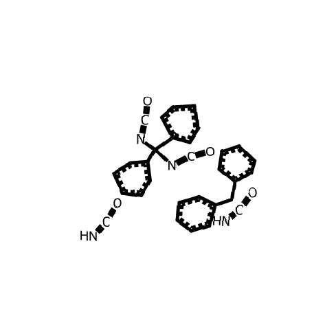 N=C=O.N=C=O.O=C=NC(N=C=O)(c1ccccc1)c1ccccc1.c1ccc(Cc2ccccc2)cc1